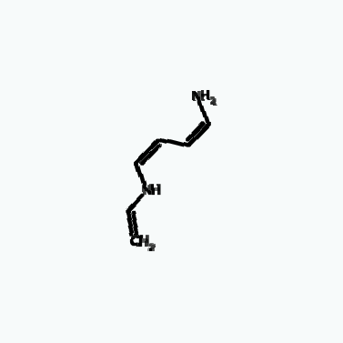 C=CN/C=C\C=C/N